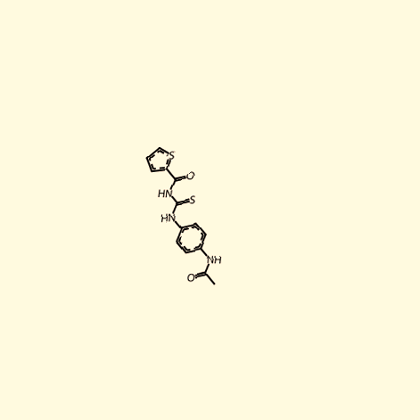 CC(=O)Nc1ccc(NC(=S)NC(=O)c2cccs2)cc1